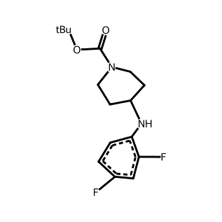 CC(C)(C)OC(=O)N1CCC(Nc2ccc(F)cc2F)CC1